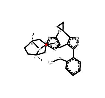 FC(F)(F)Oc1ccccc1-c1noc(C2CC2)c1CO[C@H]1C[C@H]2CC[C@@H](C1)N2c1nc(Br)cs1